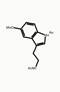 COc1ccc2[nH]cc(CCNC(C)=O)c2c1.[Au]